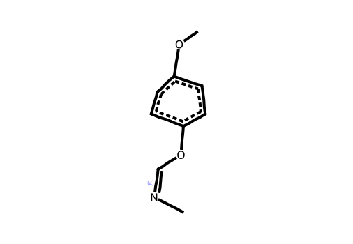 C/N=C\Oc1ccc(OC)cc1